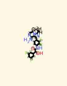 [2H]C([2H])([2H])c1nc(-c2ccc(NC(=O)[C@H](O)c3cc(F)cc(F)c3)c(F)c2F)c2c(N)ncc(C)n12